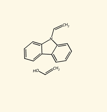 C=CO.C=Cn1c2ccccc2c2ccccc21